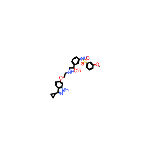 COc1cccc(S(=O)(=O)Nc2cccc(C(O)CNCCOc3ccc4c(C5CC5)n[nH]c4c3)c2)c1